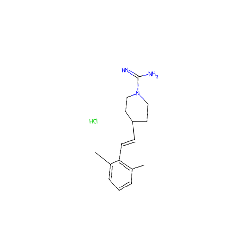 Cc1cccc(C)c1/C=C/C1CCN(C(=N)N)CC1.Cl